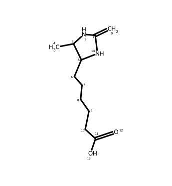 C=C1NC(C)C(CCCCCC(=O)O)N1